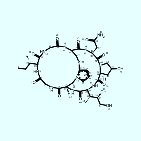 CC[C@H](C)[C@@H]1NC(=O)CNC(=O)[C@@H]2Cn3cc4ccccc4c3SCC(NC(=O)CNC1=O)C(=O)N[C@@H](CC(N)=O)C(=O)N1CC(O)C[C@H]1C(=O)N[C@@H]([C@@H](C)[C@@H](O)CO)C(=O)N2